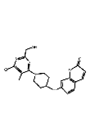 Cc1c(Cl)nc(CO)nc1N1CCC(Oc2ccc3ccc(=O)oc3c2)CC1